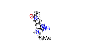 CNCCN(C)Cc1c[nH]nc1C1CCN(C(=O)C(C)C)CC1